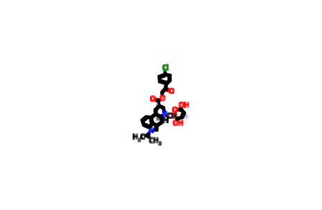 CC(C)n1cc2c3c(cccc31)C1=C[C@@H](C(=O)OCC(=O)c3ccc(Cl)cc3)CN(C)[C@@H]1C2.O=C(O)/C=C\C(=O)O